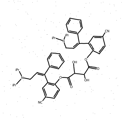 CC(C)N(CC=C(c1ccccc1)c1cc(C#N)ccc1OC(=O)C(O)C(O)C(=O)Oc1ccc(C#N)cc1C(=CCN(C(C)C)C(C)C)c1ccccc1)C(C)C